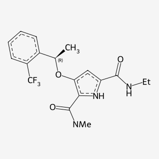 CCNC(=O)c1cc(O[C@H](C)c2ccccc2C(F)(F)F)c(C(=O)NC)[nH]1